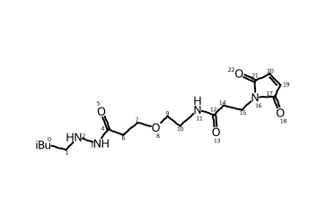 CCC(C)CNNC(=O)CCOCCNC(=O)CCN1C(=O)C=CC1=O